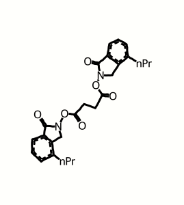 CCCc1cccc2c1CN(OC(=O)CCC(=O)ON1Cc3c(CCC)cccc3C1=O)C2=O